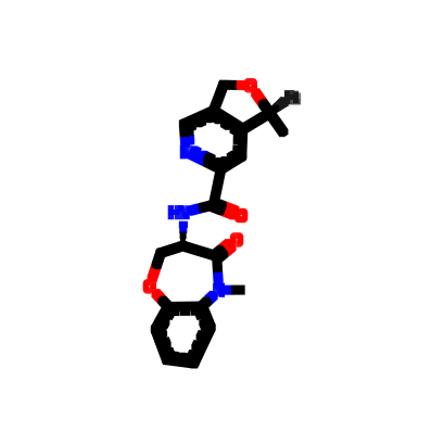 CC[C@]1(C)OCc2cnc(C(=O)N[C@H]3COc4ccccc4N(C)C3=O)cc21